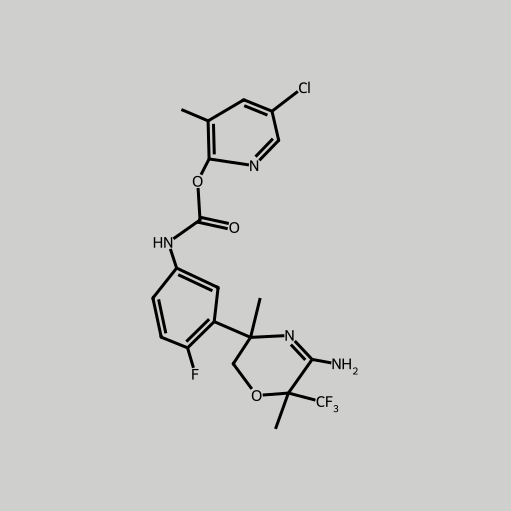 Cc1cc(Cl)cnc1OC(=O)Nc1ccc(F)c(C2(C)COC(C)(C(F)(F)F)C(N)=N2)c1